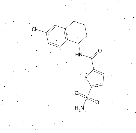 NS(=O)(=O)c1ccc(C(=O)N[C@H]2CCCc3cc(Cl)ccc32)s1